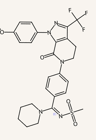 COc1ccc(-n2nc(C(F)(F)F)c3c2C(=O)N(c2ccc(/C(=N\S(C)(=O)=O)N4CCCCC4)cc2)CC3)cc1